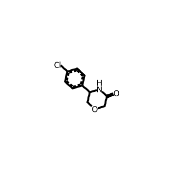 O=C1COCC(c2ccc(Cl)cc2)N1